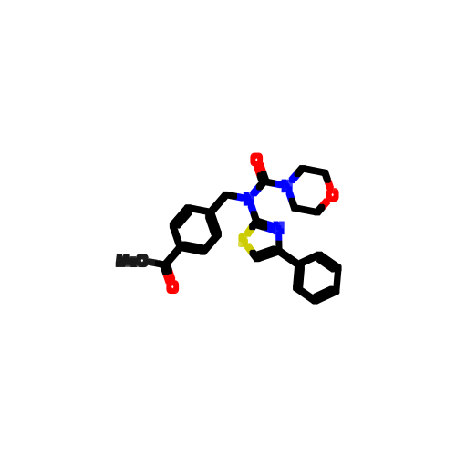 COC(=O)c1ccc(CN(C(=O)N2CCOCC2)c2nc(-c3ccccc3)cs2)cc1